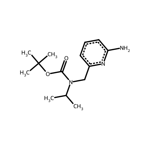 CC(C)N(Cc1cccc(N)n1)C(=O)OC(C)(C)C